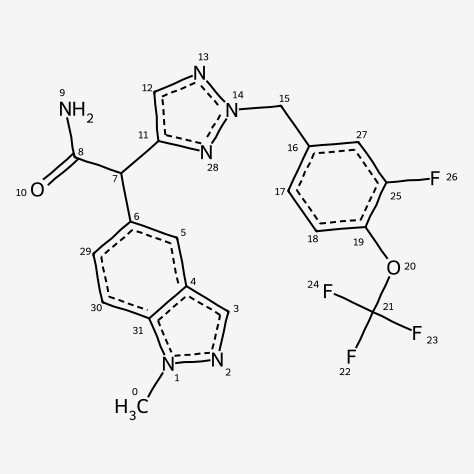 Cn1ncc2cc(C(C(N)=O)c3cnn(Cc4ccc(OC(F)(F)F)c(F)c4)n3)ccc21